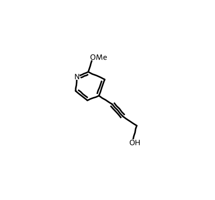 COc1cc(C#CCO)ccn1